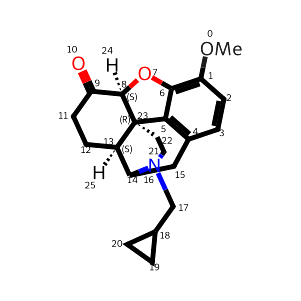 COc1ccc2c3c1O[C@@H]1C(=O)CC[C@@H]4C(C2)N(CC2CC2)CC[C@@]314